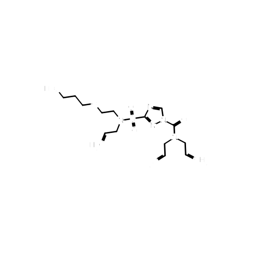 C=CCN(CC=C)C(=O)n1cnc(S(=O)(=O)N(CC=C)CCOCCCC)n1